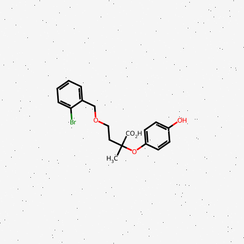 CC(CCOCc1ccccc1Br)(Oc1ccc(O)cc1)C(=O)O